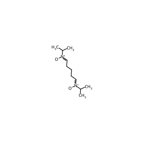 CC(C)[N+]([O-])=CCCCC=[N+]([O-])C(C)C